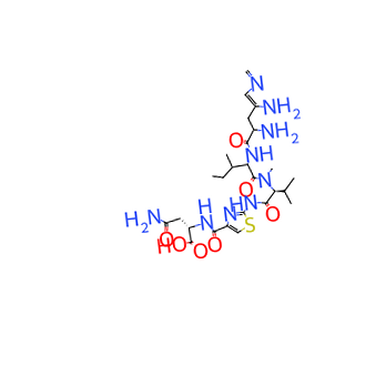 C=N/C=C(\N)CC(N)C(=O)N[C@H](C(=O)N(C)[C@H](C(=O)Nc1nc(C(=O)N[C@@H](CC(N)=O)C(=O)O)cs1)C(C)C)C(C)CC